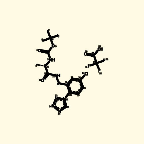 C[C@H](NC(=O)OC(C)(C)C)C(=O)NCc1cc(Cl)ccc1-n1cnnn1.O=C(O)C(F)(F)F